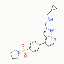 O=S(=O)(c1ccc(-c2ccnc3[nH]c(CNCC4CC4)cc23)cc1)N1CCCC1